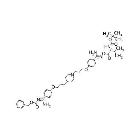 CC(C)[C@H](NC(=O)OC(C)(C)C)C(=O)O/N=C(\N)c1ccc(OCCCN2CCC(CCCOc3ccc(/C(N)=N/C(=O)OCc4ccccc4)cc3)CC2)cc1